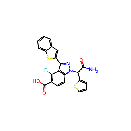 NC(=O)C(c1cccs1)n1nc(-c2cc3ccccc3s2)c2c(F)c(C(=O)O)ccc21